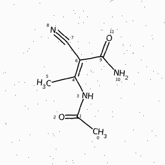 CC(=O)N/C(C)=C(/C#N)C(N)=O